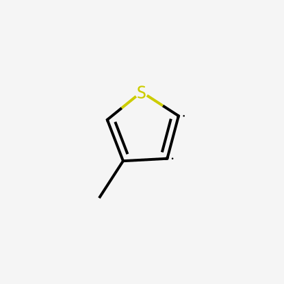 Cc1[c][c]sc1